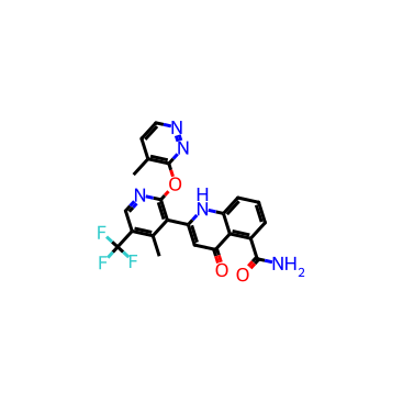 Cc1ccnnc1Oc1ncc(C(F)(F)F)c(C)c1-c1cc(=O)c2c(C(N)=O)cccc2[nH]1